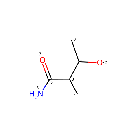 CC([O])C(C)C(N)=O